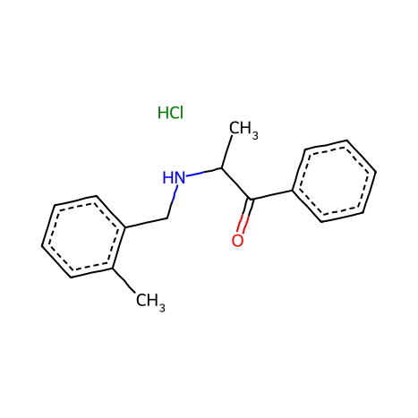 Cc1ccccc1CNC(C)C(=O)c1ccccc1.Cl